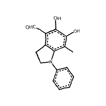 Cc1c(O)c(O)c(C=O)c2c1N(c1ccccc1)CC2